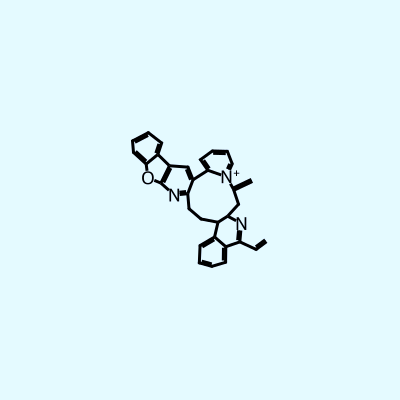 C=CC1=NC2CC(=C)[n+]3ccccc3-c3cc4c(nc3CCC2c2ccccc21)oc1ccccc14